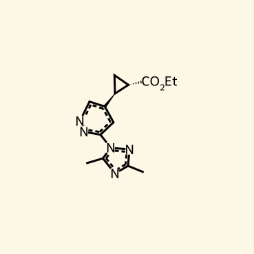 CCOC(=O)[C@H]1C[C@@H]1c1cnnc(-n2nc(C)nc2C)c1